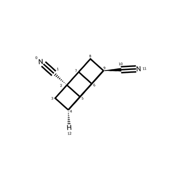 N#C[C@@]12C[C@H]3C1C1C2C[C@]13C#N